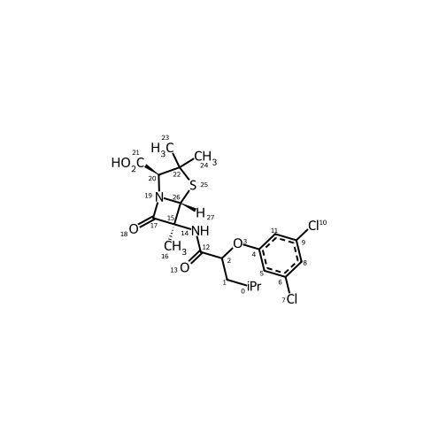 CC(C)CC(Oc1cc(Cl)cc(Cl)c1)C(=O)N[C@@]1(C)C(=O)N2[C@@H](C(=O)O)C(C)(C)S[C@@H]21